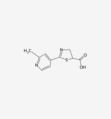 Cc1cc(C2=NCC(C(=O)O)S2)ccn1